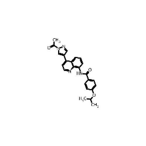 CC(=O)n1cc(-c2ccnc3c(NC(=O)c4ccc(OC(C)C)cc4)cccc23)cn1